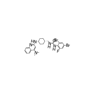 CN(C)c1cc(N[C@H]2CC[C@@H](CNC(=O)Nc3c(F)cc(Br)cc3Br)CC2)nc2ccccc12